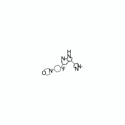 Cn1cc(-c2c[nH]c3ncc(C4(F)CCC(N5CCOCC5)CC4)cc23)cn1